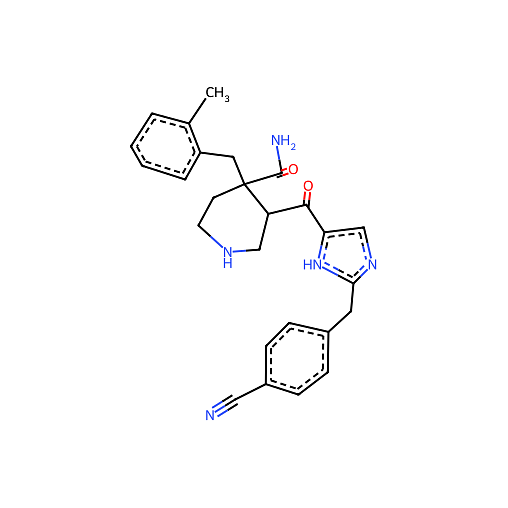 Cc1ccccc1CC1(C(N)=O)CCNCC1C(=O)c1cnc(Cc2ccc(C#N)cc2)[nH]1